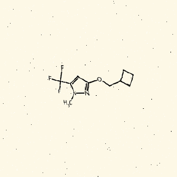 Cn1nc(OCC2CCC2)cc1C(F)(F)F